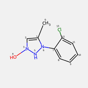 CC1=CN(O)NN1c1ccccc1Cl